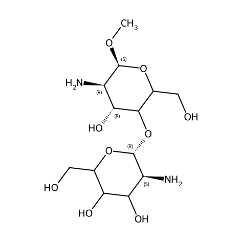 CO[C@H]1OC(CO)C(O[C@H]2OC(CO)C(O)C(O)[C@@H]2N)[C@H](O)[C@H]1N